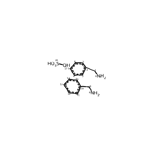 NCc1ccccc1.NCc1ccccc1.O=S(=O)(O)O